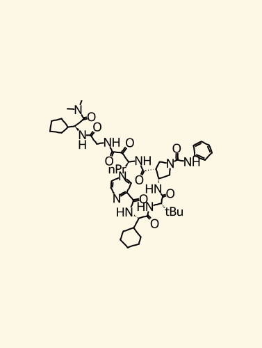 CCC[C@H](NC(=O)[C@@H]1CN(C(=O)Nc2ccccc2)C[C@@H]1NC(=O)[C@@H](NC(=O)[C@@H](NC(=O)c1cnccn1)C1CCCCC1)C(C)(C)C)C(=O)C(=O)NCC(=O)N[C@H](C(=O)N(C)C)C1CCCC1